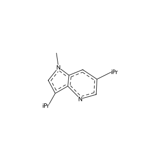 CC(C)c1cnc2c(C(C)C)cn(C)c2c1